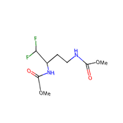 COC(=O)NCCC(NC(=O)OC)C(F)F